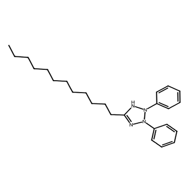 CCCCCCCCCCCCC1=NN(c2ccccc2)N(c2ccccc2)N1